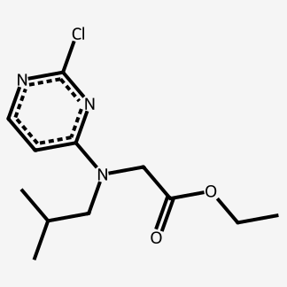 CCOC(=O)CN(CC(C)C)c1ccnc(Cl)n1